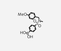 COc1ccc(CN(C)S(=O)(=O)c2ccc(B(O)O)cc2)cc1